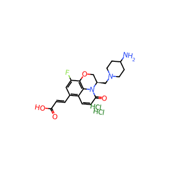 Cl.Cl.NC1CCN(C[C@@H]2COc3c(F)cc(/C=C/C(=O)O)c4ccc(=O)n2c34)CC1